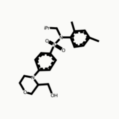 Cc1ccc(N(CC(C)C)S(=O)(=O)c2ccc(N3CCOCC3CO)cc2)c(C)c1